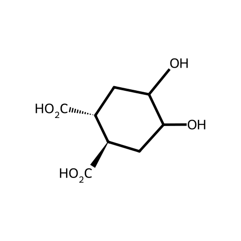 O=C(O)[C@@H]1CC(O)C(O)C[C@H]1C(=O)O